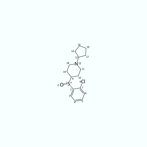 [O-][S+](c1ccccc1Cl)C1CCN(C2CCCC2)CC1